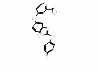 CNC(=O)c1cc(Oc2ccc3[nH]c(Nc4ccc(C(C)C)cc4)nc3c2)ccn1